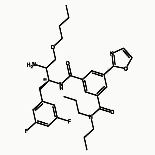 CCCCOCC(N)[C@H](Cc1cc(F)cc(F)c1)NC(=O)c1cc(C(=O)N(CCC)CCC)cc(-c2ncco2)c1